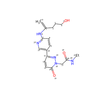 C=C(CCCO)Nc1ccc(-c2ccc(=O)n(CC(=O)NCC)n2)cn1